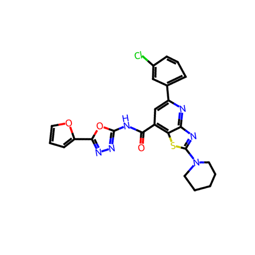 O=C(Nc1nnc(-c2ccco2)o1)c1cc(-c2cccc(Cl)c2)nc2nc(N3CCCCC3)sc12